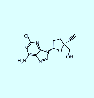 C#C[C@@]1(CO)CC[C@H](n2cnc3c(N)nc(Cl)nc32)O1